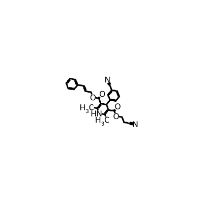 CC1=C(C(=O)OC/C=C/c2ccccc2)C(c2cccc(C#N)c2)C(C(=O)OCCC#N)=C(C)N1